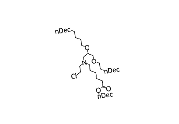 CCCCCCCCCCCCCCOC(COCCCCCCCCCCCC)CN(CCCl)CCCCCC(=O)OCCCCCCCCCC